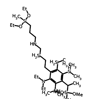 CCO[Si](C)(CCCNC[SiH2]CCc1c([SiH2]C)c([SiH](C)C)c(C(C)[Si](C)(OC)OC)c([SiH](C)C)c1N(CC)CC)OCC